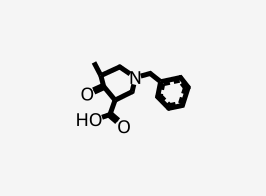 CC1CN(Cc2ccccc2)CC(C(=O)O)C1=O